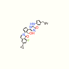 CC(C)Cc1ccc(Nc2nc(-c3cccc(-n4ccc5cc(C6CC6)cc(F)c5c4=O)c3CO)cn(C)c2=O)cc1